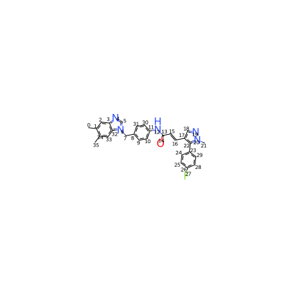 Cc1cc2ncn(Cc3ccc(NC(=O)C=Cc4cnn(C)c4-c4ccc(F)cc4)cc3)c2cc1C